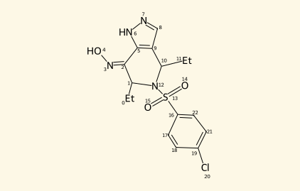 CCC1C(=NO)c2[nH]ncc2C(CC)N1S(=O)(=O)c1ccc(Cl)cc1